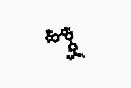 CN(C)c1ncc(-c2cnc3[nH]cc(-c4ccc5ncn(C(C)(C)C)c5c4)c3c2)cn1